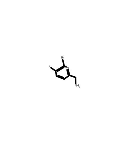 NCc1ccc(F)c(Br)n1